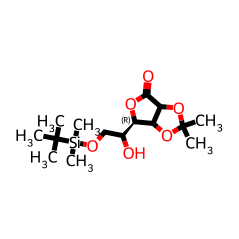 CC1(C)OC2C(=O)O[C@H](C(O)CO[Si](C)(C)C(C)(C)C)C2O1